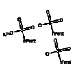 CCCCCS(=O)(=O)[O-].CCCCCS(=O)(=O)[O-].CCCCCS(=O)(=O)[O-].[Al+3]